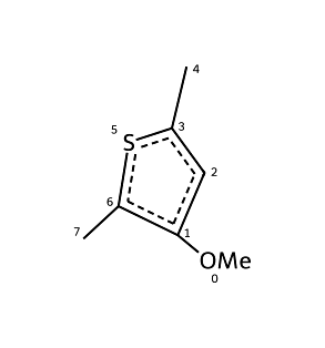 COc1cc(C)sc1C